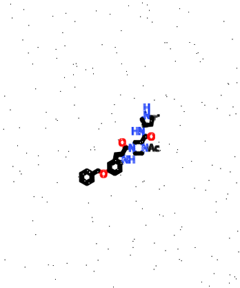 CC(=O)N1CCN(C(=O)c2cc3cc(OCc4ccccc4)ccc3[nH]2)CC1C(=O)N[C@@H]1CN[C@H](C)C1